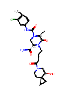 C[C@H]1C(=O)N(CCCC(=O)N2CCC3(CC3)[C@H](O)C2)[C@H](C(N)=O)CN1C(=O)Nc1ccc(C(F)(F)F)c(Cl)c1